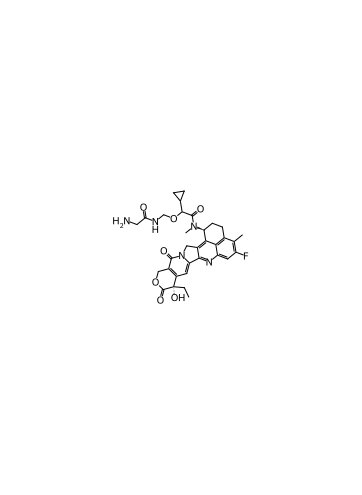 CC[C@@]1(O)C(=O)OCc2c1cc1n(c2=O)Cc2c-1nc1cc(F)c(C)c3c1c2[C@@H](N(C)C(=O)C(OCNC(=O)CN)C1CC1)CC3